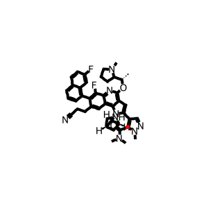 C[C@H](Oc1nc2c(F)c(-c3cccc4ccc(F)cc34)c(CCC#N)cc2c2c1cc(-c1cnn(C)c1C(=O)N(C)C)n2[C@H]1[C@H]2CN[C@@H]1C2)C1CCCN1C